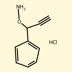 C#CC(ON)c1ccccc1.Cl